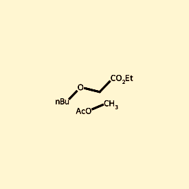 CCCCOCC(=O)OCC.COC(C)=O